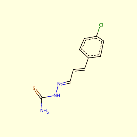 NC(=S)NN=C/C=C/c1ccc(Cl)cc1